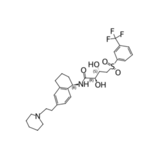 O=C(N[C@@H]1CCCc2cc(CCN3CCCCC3)ccc21)[C@H](O)[C@H](O)CS(=O)(=O)c1cccc(C(F)(F)F)c1